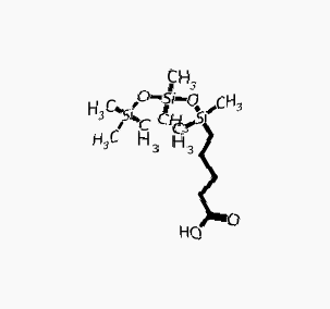 C[Si](C)(C)O[Si](C)(C)O[Si](C)(C)CCCCC(=O)O